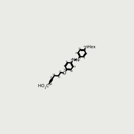 CCCCCCc1ccc(N=Nc2ccc(OCCCC#CC(=O)O)cc2)cc1